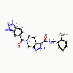 COc1ccccc1CNC(=O)c1[nH]nc2c1CCN(C(=O)c1ccc3[nH]nnc3c1)C2